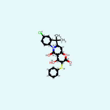 CC1(C)c2cc(Cl)ccc2-n2c1cc1oc(=O)c(Sc3ccccc3)c(O)c1c2=O